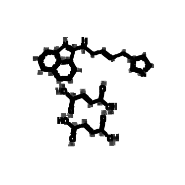 C(=C\Cn1ccnc1)/CNC1=Nc2cccc3cccc1c23.O=C(O)/C=C/C(=O)O.O=C(O)/C=C/C(=O)O